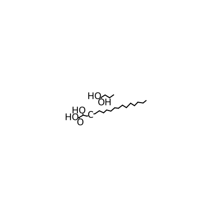 CCCC(O)O.CCCCCCCCCCCCCCCCC(O)C(=O)O